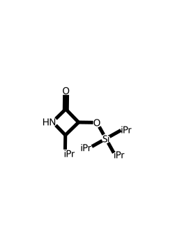 CC(C)C1NC(=O)C1O[Si](C(C)C)(C(C)C)C(C)C